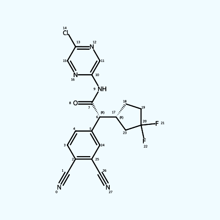 N#Cc1ccc([C@H](C(=O)Nc2cnc(Cl)cn2)[C@@H]2CCC(F)(F)C2)cc1C#N